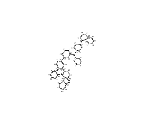 c1ccc(N(c2ccc(-c3cccc4ccccc34)cc2)c2cccc(-c3ccc4c5ccccc5c5c(ccc6oc7ccccc7c65)c4c3)c2)cc1